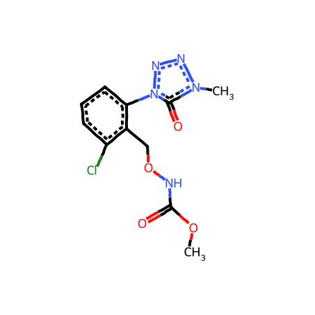 COC(=O)NOCc1c(Cl)cccc1-n1nnn(C)c1=O